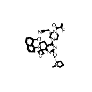 C=C(F)C(=O)N1CCN(c2nc(OC[C@@H]3CCCN3C)nc3c2CCN(c2cccc4cccc(Cl)c24)C32COC2)C[C@@H]1CC#N